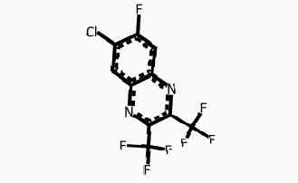 Fc1cc2nc(C(F)(F)F)c(C(F)(F)F)nc2cc1Cl